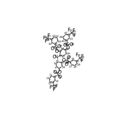 O=C(c1ccc(OS(=O)(=O)c2cccc(C(F)(F)F)c2)cc1OS(=O)(=O)c1cccc(C(F)(F)F)c1)c1ccc(OS(=O)(=O)c2cccc(C(F)(F)F)c2)cc1OS(=O)(=O)c1cccc(C(F)(F)F)c1